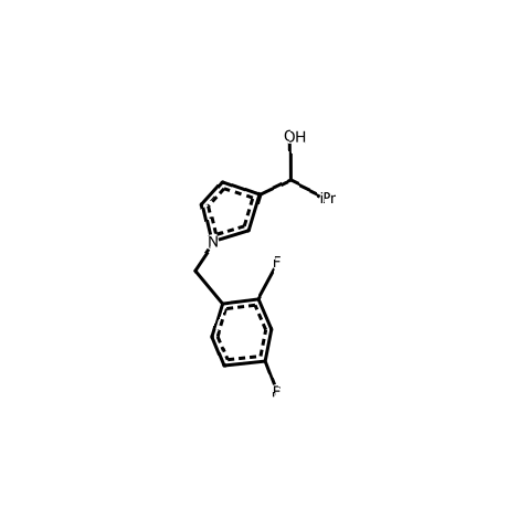 CC(C)C(O)c1ccn(Cc2ccc(F)cc2F)c1